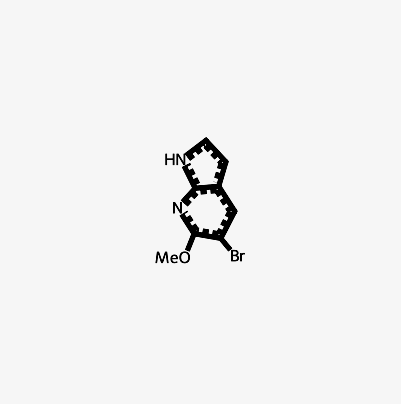 COc1nc2[nH]ccc2cc1Br